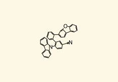 N#Cc1ccc(-n2c3ccccc3c3ccccc32)c(-c2ccccc2-c2ccc3c(c2)oc2ccccc23)c1